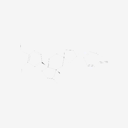 C=C/C=C\C(=C/N)[C@H]1COC2(CC[C@@]3(c4ccc(OC)c(OC)c4)CCN(C)[C@H]3C2)O1